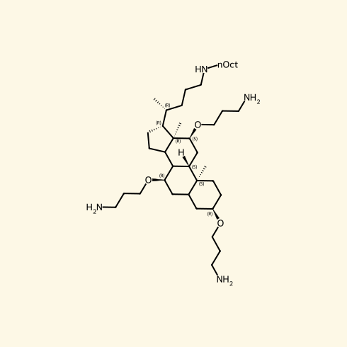 CCCCCCCCNCCC[C@@H](C)[C@H]1CCC2C3[C@H](OCCCN)CC4C[C@H](OCCCN)CC[C@]4(C)[C@H]3C[C@H](OCCCN)[C@@]21C